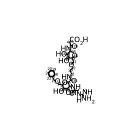 N=C(N)NCC(=O)NC1[C@@H](O)[C@@H](O)C(COCc2ccccc2)O[C@H]1C(=O)NCCCOCC1OCC(NC(=O)CC(=O)O)[C@@H](O)[C@H]1O